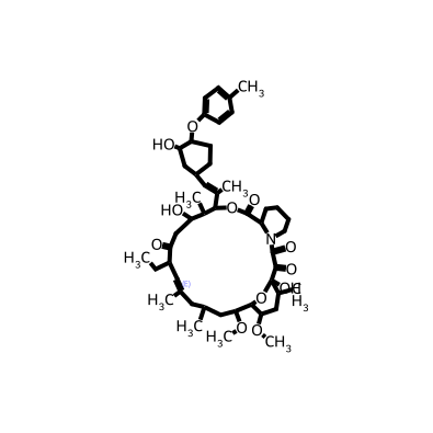 CCC1/C=C(\C)CC(C)CC(OC)C2OC(O)(C(=O)C(=O)N3CCCCC3C(=O)OC(C(C)=CC3CCC(Oc4ccc(C)cc4)C(O)C3)C(C)C(O)CC1=O)C(C)CC2OC